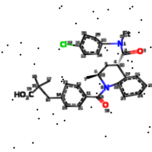 CCN(C(=O)[C@H]1C[C@H](C)N(C(=O)c2ccc(CC(C)(C)C(=O)O)cc2)c2ccccc21)c1ccc(Cl)cc1